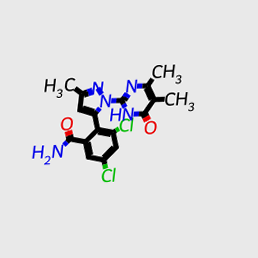 Cc1cc(-c2c(Cl)cc(Cl)cc2C(N)=O)n(-c2nc(C)c(C)c(=O)[nH]2)n1